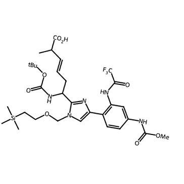 COC(=O)Nc1ccc(-c2cn(COCC[Si](C)(C)C)c(C(CC=CC(C)C(=O)O)NC(=O)OC(C)(C)C)n2)c(NC(=O)C(F)(F)F)c1